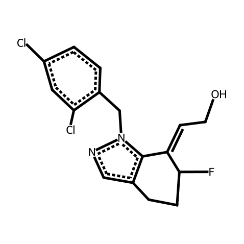 OC/C=C1/c2c(cnn2Cc2ccc(Cl)cc2Cl)CCC1F